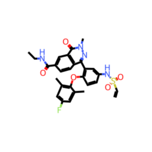 C=CS(=O)(=O)Nc1ccc(Oc2c(C)cc(F)cc2C)c(-c2nn(C)c(=O)c3cc(C(=O)NCC)ccc23)c1